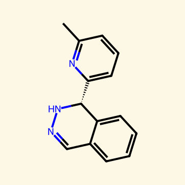 Cc1cccc([C@H]2NN=Cc3ccccc32)n1